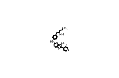 CCCC(=N)Cc1ccc(Nc2ncc3nc(-c4ccncc4)n(C)c3n2)cc1